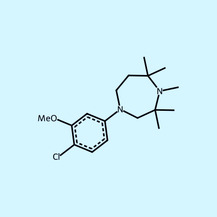 COc1cc(N2CCC(C)(C)N(C)C(C)(C)C2)ccc1Cl